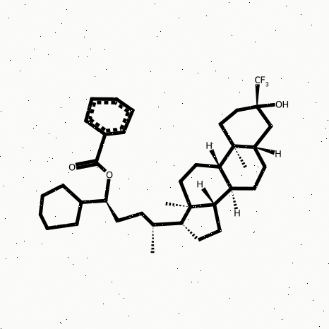 C[C@H](CC[C@H](OC(=O)c1ccccc1)C1CCCCC1)[C@H]1CC[C@H]2[C@@H]3CC[C@H]4C[C@](O)(C(F)(F)F)CC[C@]4(C)[C@H]3CC[C@]12C